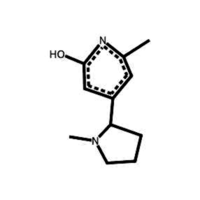 Cc1cc(C2CCCN2C)cc(O)n1